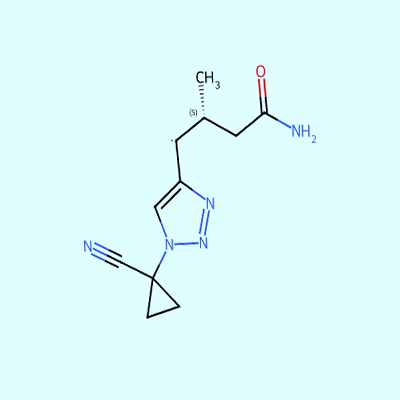 C[C@@H]([CH]c1cn(C2(C#N)CC2)nn1)CC(N)=O